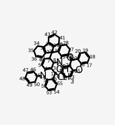 CC1(C)C2=C(C=CC3C2N(c2cccc4oc5ccccc5c(=O)c24)C2=CCCC=C2C32C3=C(CCC=C3)C3=C2CCC=C3)N(C2C=CC=CC2)c2ccccc21